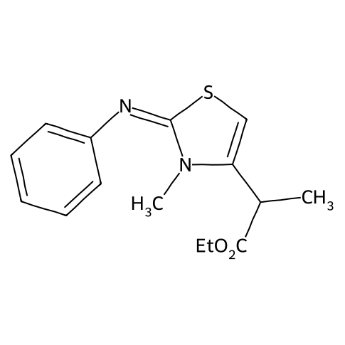 CCOC(=O)C(C)c1csc(=Nc2ccccc2)n1C